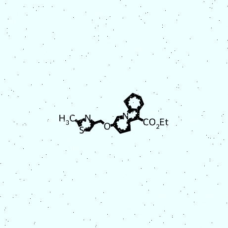 CCOC(=O)c1c2ccccc2n2cc(OCc3csc(C)n3)ccc12